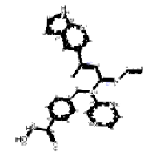 C=C/N=C(\C=C(/C)c1cnc2[nH]ccc2c1)N(Cc1ccc(C(=O)NO)cc1)c1cnccn1